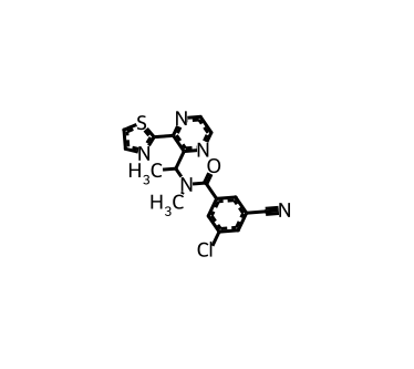 CC(c1nccnc1-c1nccs1)N(C)C(=O)c1cc(Cl)cc(C#N)c1